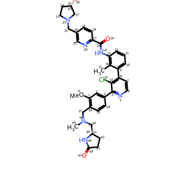 COc1cc(-c2nccc(-c3cccc(NC(=O)c4ccc(CN5CC[C@H](O)C5)cn4)c3C)c2Cl)ccc1CN(C)C[C@H]1CCC(=O)N1